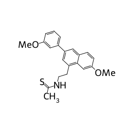 COc1cccc(-c2cc(CCNC(C)=S)c3cc(OC)ccc3c2)c1